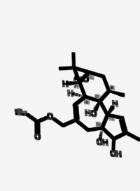 CC(=O)O[C@@]12C[C@@H](C)[C@@]3(O)[C@@H](C=C(COC(=O)C(C)(C)C)C[C@]4(O)C(O)C(C)=C[C@@H]34)[C@@H]1C2(C)C